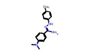 CC(=O)Oc1ccc(NN=C(N)c2ccc(N(C)C)cc2)cc1